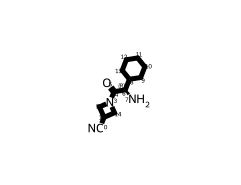 N#CC1CN(C(=O)[C@H](N)C2CCCCC2)C1